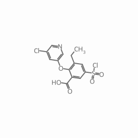 CCc1cc(S(=O)(=O)Cl)cc(C(=O)O)c1Oc1cncc(Cl)c1